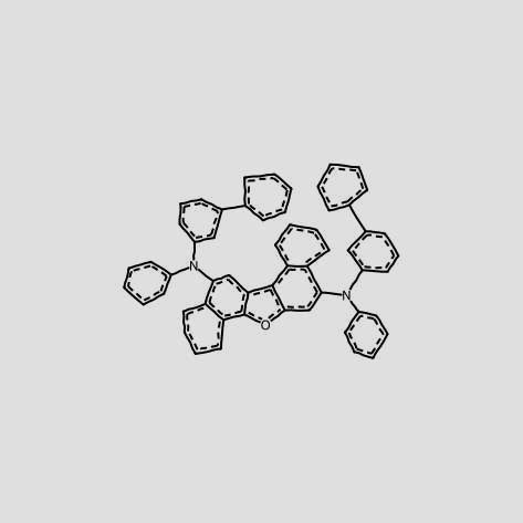 c1ccc(-c2cccc(N(c3ccccc3)c3cc4c(oc5cc(N(c6ccccc6)c6cccc(-c7ccccc7)c6)c6ccccc6c54)c4ccccc34)c2)cc1